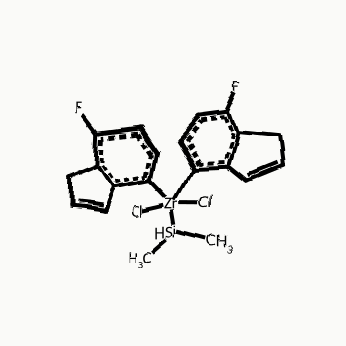 C[SiH](C)[Zr]([Cl])([Cl])([c]1ccc(F)c2c1C=CC2)[c]1ccc(F)c2c1C=CC2